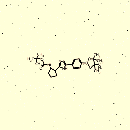 CC(C)(C)OC(=O)NC1CCCC1c1ncc(-c2ccc(B3OC(C)(C)C(C)(C)O3)cc2)[nH]1